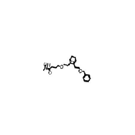 CN(O)C(=O)CCCOCCC1C2CCC(O2)C1CCOCc1ccccc1